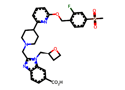 CS(=O)(=O)c1ccc(COc2cccc(C3CCN(Cc4nc5ccc(C(=O)O)cc5n4C[C@@H]4CCO4)CC3)n2)c(F)c1